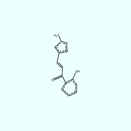 Cn1cc(C=CC(=O)c2ccccc2O)cn1